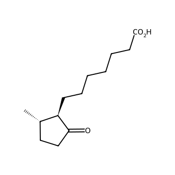 C[C@H]1CCC(=O)[C@@H]1CCCCCCC(=O)O